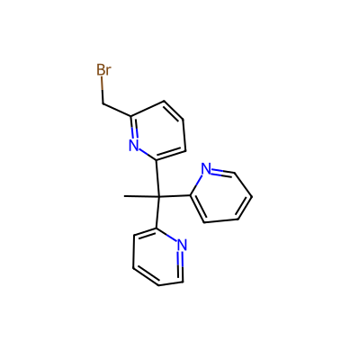 CC(c1ccccn1)(c1ccccn1)c1cccc(CBr)n1